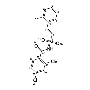 Cc1ccccc1/C=C/S(=O)(=O)NC(=O)c1ccc(Cl)cc1Cl